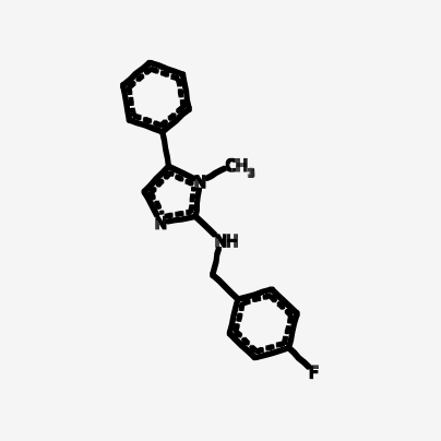 Cn1c(-c2ccccc2)cnc1NCc1ccc(F)cc1